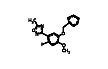 COc1cc(I)c(-c2noc(C)n2)cc1OCc1ccccc1